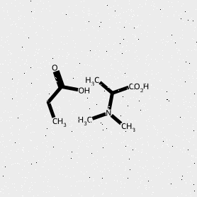 CC(C(=O)O)N(C)C.CCC(=O)O